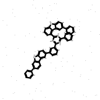 c1ccc(-c2ccc3c(c2)oc2ccc(-c4cccc(-c5nc(-c6ccccc6)nc(-c6cccc7oc8ccc(-c9ccccc9)cc8c67)n5)c4)cc23)cc1